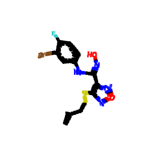 C=CCSc1nonc1/C(=N/O)Nc1ccc(F)c(Br)c1